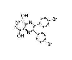 Oc1nnc(O)c2nc(-c3ccc(Br)cc3)c(-c3ccc(Br)cc3)nc12